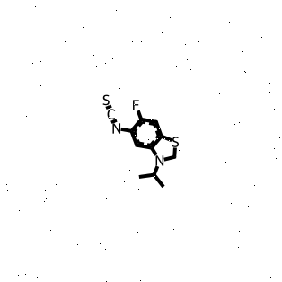 CC(C)N1CSc2cc(F)c(N=C=S)cc21